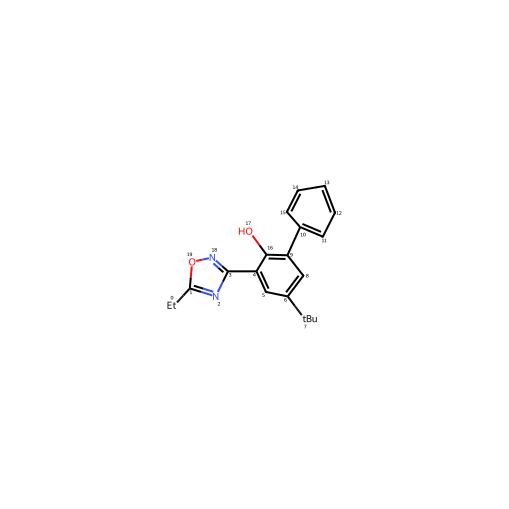 CCc1nc(-c2cc(C(C)(C)C)cc(-c3ccccc3)c2O)no1